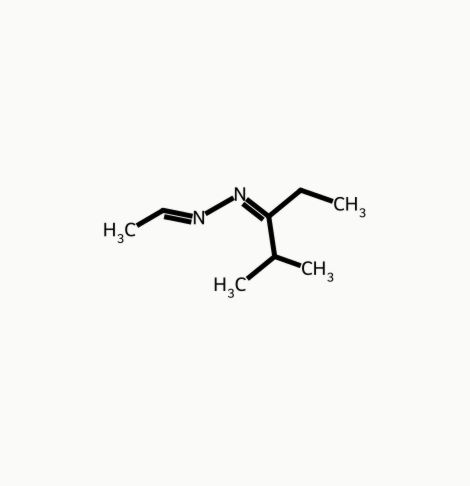 CC=NN=C(CC)C(C)C